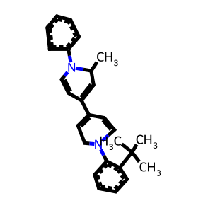 CC1C=C(C2=CCN(c3ccccc3C(C)(C)C)C=C2)C=CN1c1ccccc1